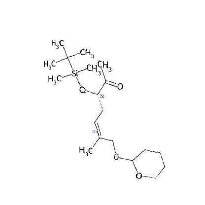 CC(=O)[C@H](C/C=C(/C)COC1CCCCO1)O[Si](C)(C)C(C)(C)C